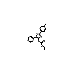 CCOC(=O)Cc1nc(-c2ccc(C)cc2)oc1-c1ccccc1